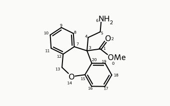 COC(=O)C1(CCN)c2ccccc2COc2ccccc21